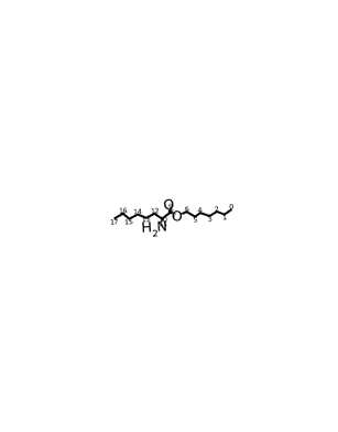 CCCCCCCOC(=O)C(N)CCCCCC